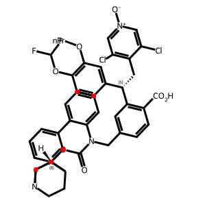 CCCOc1cc([C@H](Cc2c(Cl)c[n+]([O-])cc2Cl)c2cc(CN(C(=O)O[C@H]3CN4CCC3CC4)c3ccccc3-c3cccnc3)ccc2C(=O)O)ccc1OC(F)F